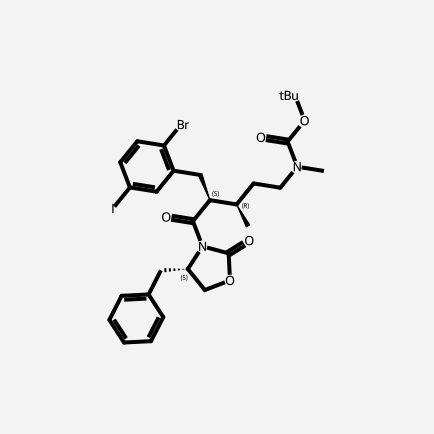 C[C@H](CCN(C)C(=O)OC(C)(C)C)[C@H](Cc1cc(I)ccc1Br)C(=O)N1C(=O)OC[C@@H]1Cc1ccccc1